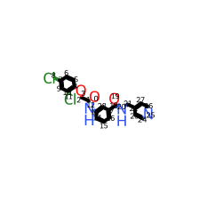 O=C(COc1ccc(Cl)cc1Cl)Nc1cccc(C(=O)NCc2ccncc2)c1